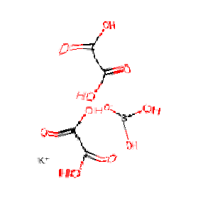 O=C(O)C(=O)O.O=C(O)C(=O)O.[K+].[O-]B(O)O